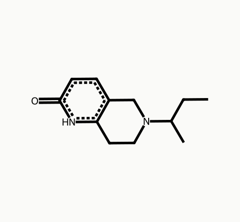 CCC(C)N1CCc2[nH]c(=O)ccc2C1